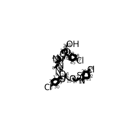 Clc1ccc([C@]2(Cn3ccnc3)OC[C@@H](COCc3nc4ccc(Cl)cc4s3)O2)cc1.OC[C@@H]1CO[C@@](Cn2ccnc2)(c2ccc(Cl)cc2)O1